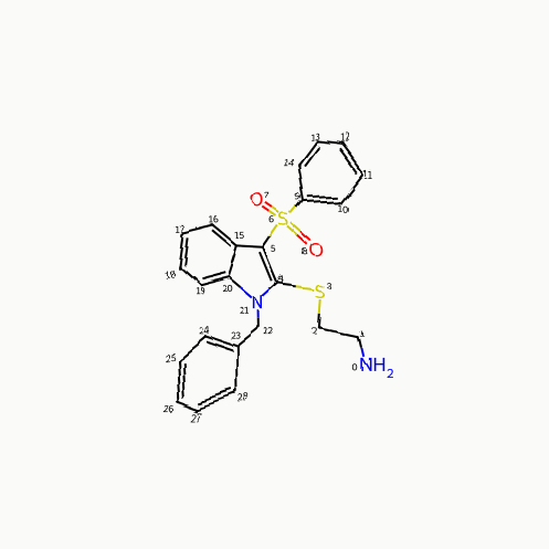 NCCSc1c(S(=O)(=O)c2ccccc2)c2ccccc2n1Cc1ccccc1